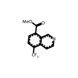 COC(=O)c1ccc(C(F)(F)F)c2ccncc12